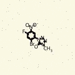 Cn1nnn(-c2cc([N+](=O)[O-])c(F)cc2Br)c1=O